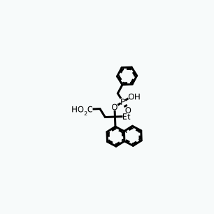 CCC(CCC(=O)O)(OP(=O)(O)Cc1ccccc1)c1cccc2ccccc12